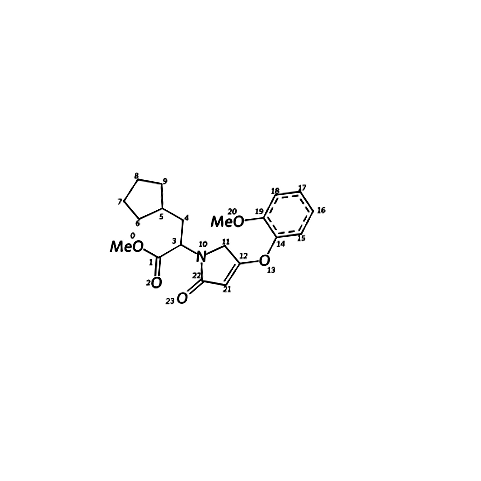 COC(=O)C(CC1CCCC1)N1CC(Oc2ccccc2OC)=CC1=O